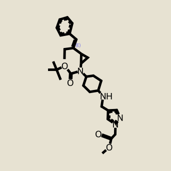 CC/C(=C\c1ccccc1)C1CC1N(C(=O)OC(C)(C)C)C1CCC(NCc2cnn(CC(=O)OC)c2)CC1